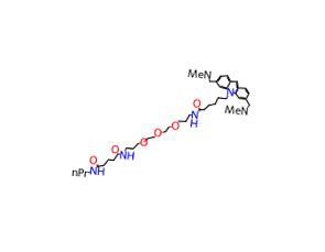 CCCNC(=O)CCCC(=O)NCCCOCCOCCOCCCNC(=O)CCCCC[n+]1c2cc(CNC)ccc2cc2ccc(CNC)cc21